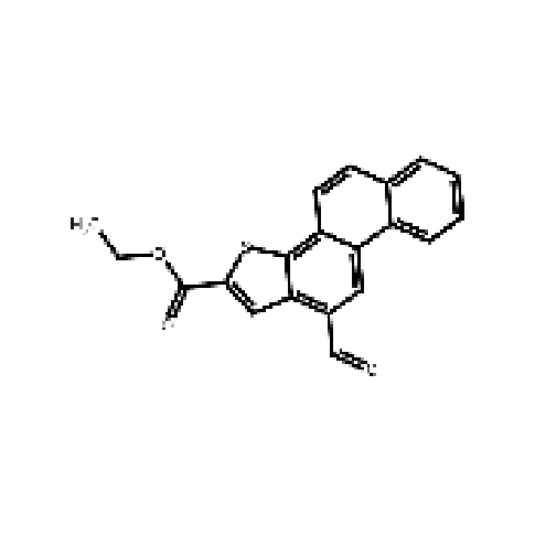 CCOC(=O)c1cc2c(C=O)cc3c4ccccc4ccc3c2s1